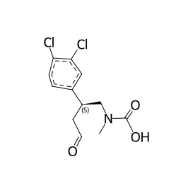 CN(C[C@@H](CC=O)c1ccc(Cl)c(Cl)c1)C(=O)O